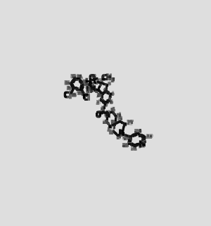 CC1(C)Cc2ccc(C(=O)N3CCC4(CC3)CCN(c3ccncc3)CC4)cc2C1NC(=O)c1cccc(Cl)c1Cl